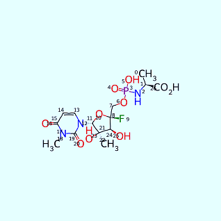 C[C@H](NP(=O)(O)OC[C@@]1(F)O[C@@H](n2ccc(=O)n(C)c2=O)[C@](C)(O)[C@@H]1O)C(=O)O